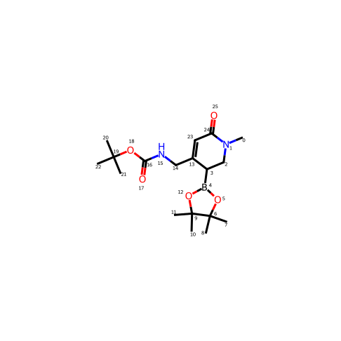 CN1CC(B2OC(C)(C)C(C)(C)O2)C(CNC(=O)OC(C)(C)C)=CC1=O